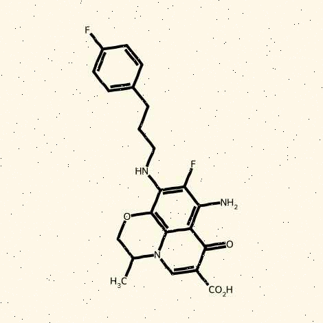 CC1COc2c(NCCCc3ccc(F)cc3)c(F)c(N)c3c(=O)c(C(=O)O)cn1c23